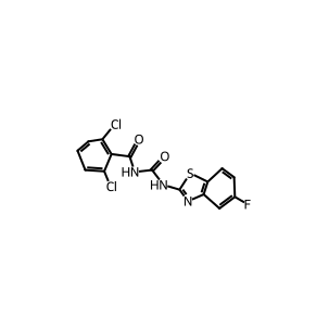 O=C(NC(=O)c1c(Cl)cccc1Cl)Nc1nc2cc(F)ccc2s1